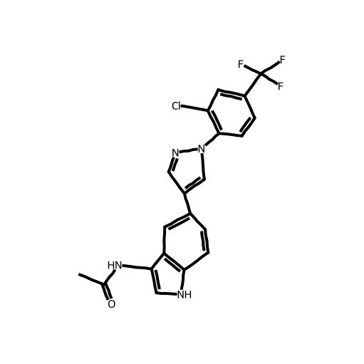 CC(=O)Nc1c[nH]c2ccc(-c3cnn(-c4ccc(C(F)(F)F)cc4Cl)c3)cc12